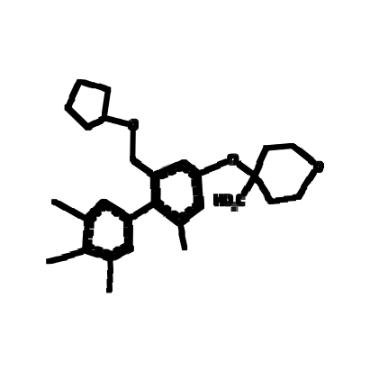 Cc1cc(-c2c(C)cc(OC3(C(=O)O)CCOCC3)cc2COC2CCCC2)cc(C)c1C